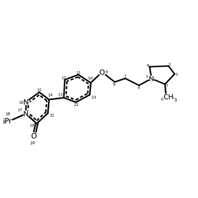 CC1CCCN1CCCOc1ccc(-c2cnn(C(C)C)c(=O)c2)cc1